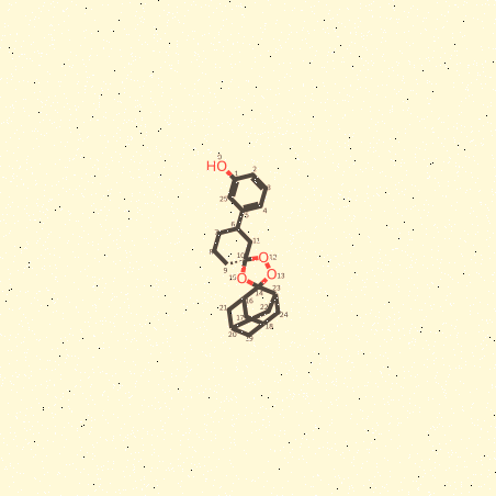 Oc1cccc(C2CCC[C@]3(C2)OOC2(O3)C3CC4CC(C3)CC2C4)c1